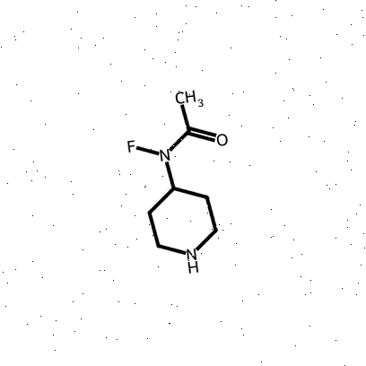 CC(=O)N(F)C1CCNCC1